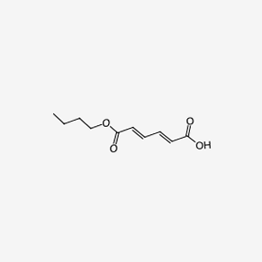 CCCCOC(=O)/C=C/C=C/C(=O)O